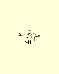 Cc1cc(C(Cl)(CCC2CC2)c2cccnc2)ccc1F